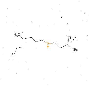 CCC(C)C(C)CCPCCCC(C)CCC(C)C